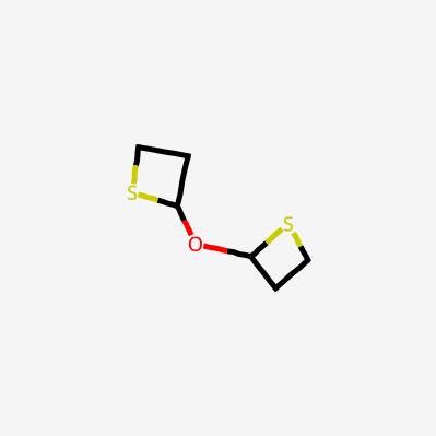 C1CC(OC2CCS2)S1